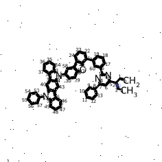 C=C/C(=C\C)c1cc(-c2ccccc2)nc(-c2cccc(-c3cccc4c3oc3ccc(-n5c6ccccc6c6cc7c(cc65)c5ccccc5n7-c5ccccc5)cc34)c2)n1